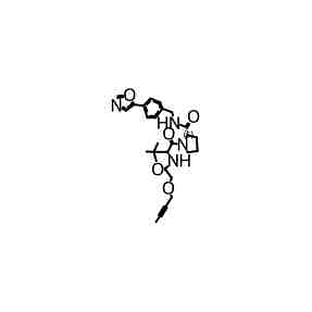 CC#CCOCC(=O)NC(C(=O)N1CCC[C@H]1C(=O)NCc1ccc(-c2cnco2)cc1)C(C)(C)C